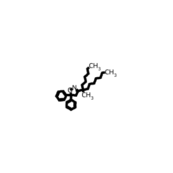 CCCCCCCC(C)(CCCCCC)C1=NOC(c2ccccc2)(c2ccccc2)C1